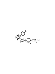 Cc1nc(-n2cnc(-c3c(C)nnn3-c3ccc(F)cc3)c2)ccc1C(=O)O